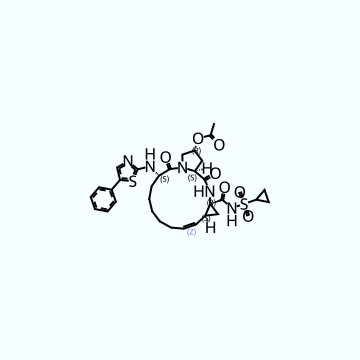 CC(=O)O[C@@H]1C[C@H]2C(=O)N[C@]3(C(=O)NS(=O)(=O)C4CC4)C[C@H]3/C=C\CCCCC[C@H](Nc3ncc(-c4ccccc4)s3)C(=O)N2C1